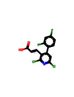 O=C(O)/C=C/c1c(-c2ccc(F)cc2F)cc(Cl)nc1Cl